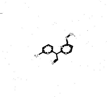 CSc1ccnc(C(C=O)c2cccc(C)n2)n1